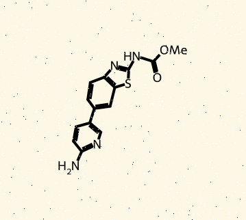 COC(=O)Nc1nc2ccc(-c3ccc(N)nc3)cc2s1